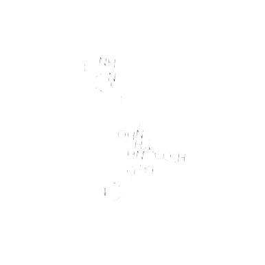 O=C(N[C@@H](CNCC(CO)CCCc1ccc2c(n1)NCCC2)C(=O)O)OCc1ccccc1